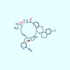 C[C@@H]1[C@@H](C)C/C=C/[C@](O)(Cc2ccnc(C#N)c2)[C@@H]2CC[C@H]2CN2C[C@@]3(CCCc4cc(Cl)ccc43)COc3ccc(cc32)C(=O)NS1(=O)=O